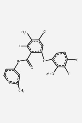 COc1c(Oc2cc(Cl)c(C)c(F)c2C(=O)Nc2ccnc(C)c2)ccc(F)c1F